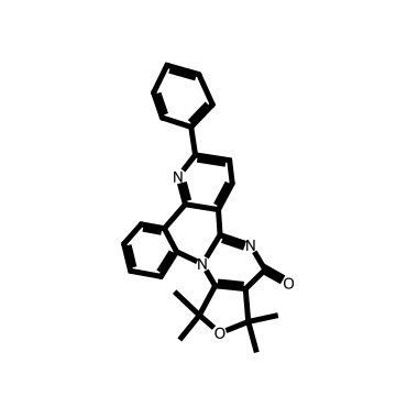 CC1(C)OC(C)(C)c2c1c(=O)nc1c3ccc(-c4ccccc4)nc3c3ccccc3n21